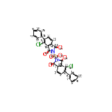 O=C1c2ccc(-c3ccccc3)c(Cl)c2C(=O)N1S(=O)(=O)N1C(=O)c2ccc(-c3ccccc3)c(Cl)c2C1=O